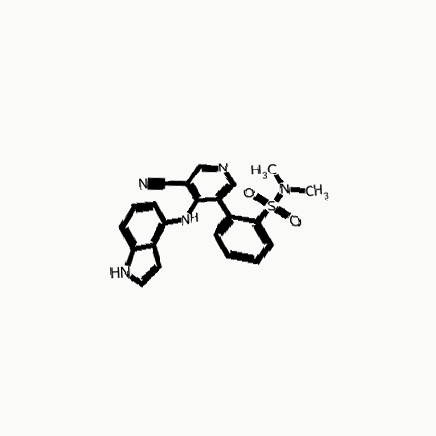 CN(C)S(=O)(=O)c1ccccc1-c1cncc(C#N)c1Nc1cccc2[nH]ccc12